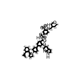 O=C(NS(=O)(=O)c1ccc(NCC2CCOCC2)c([N+](=O)[O-])c1)c1ccc(-c2ccc(N3CCCC3C3=C(C4CC4)CCCC3)cc2)cc1Oc1cnc2[nH]ccc2c1